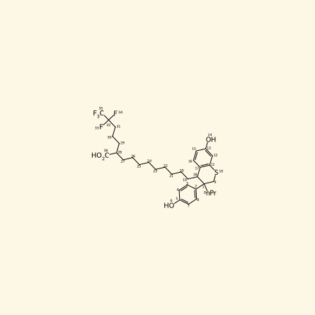 CCCC1(c2ccc(O)cc2)CSc2cc(O)ccc2C1CCCCCCCCCC(CCCC(F)(F)C(F)(F)F)C(=O)O